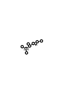 CC1(C)c2cc(-c3ccccc3)ccc2-c2ccc(-c3ccc(-c4cc(-c5ccccc5)nc(-c5ccccc5)n4)c4ccccc34)cc21